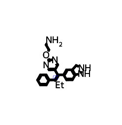 CC/C(=C(/c1cnc(OCCN)nc1)c1ccc2c(c1)CNN2)c1ccccc1